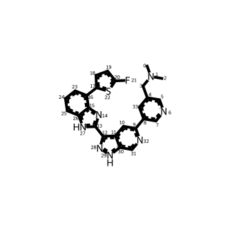 CN(C)Cc1cncc(-c2cc3c(-c4nc5c(-c6ccc(F)s6)cccc5[nH]4)n[nH]c3cn2)c1